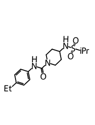 CCc1ccc(NC(=O)N2CCC(NS(=O)(=O)C(C)C)CC2)cc1